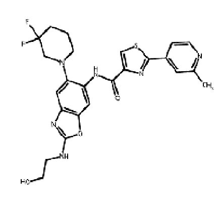 Cc1cc(-c2nc(C(=O)Nc3cc4oc(NCCO)nc4cc3N3CCCC(F)(F)C3)cs2)ccn1